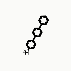 [2H]c1ccc(-c2ccc(-c3ccccc3)cc2)cc1